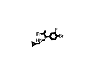 C=C(C(C)C)[C@H](CNCC1CC1)c1ccc(Br)c(F)c1